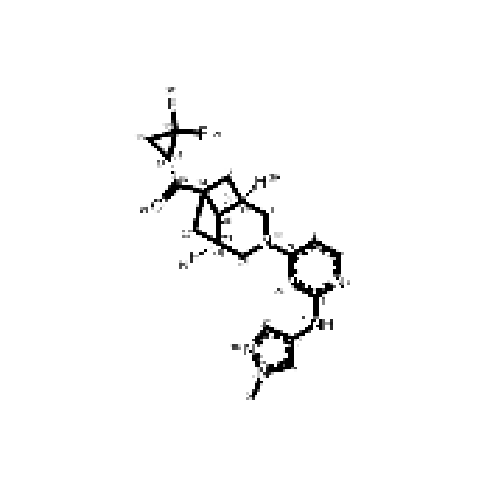 Cn1cc(Nc2nccc(N3C[C@@H]4CC5(C(=O)[C@@H]6CC6(F)F)C[C@H](C3)C45)n2)cn1